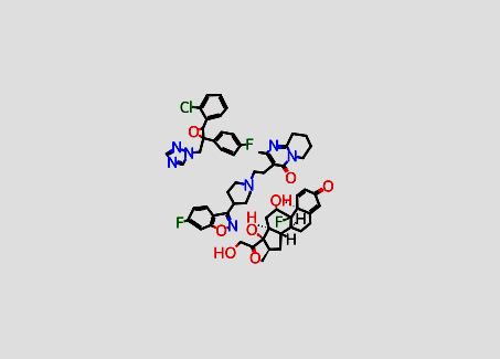 C[C@@H]1C[C@H]2[C@@H]3CCC4=CC(=O)C=C[C@]4(C)[C@@]3(F)[C@@H](O)C[C@]2(C)[C@@]1(O)C(=O)CO.Cc1nc2n(c(=O)c1CCN1CCC(c3noc4cc(F)ccc34)CC1)CCCC2.Fc1ccc(C2(Cn3cncn3)OC2c2ccccc2Cl)cc1